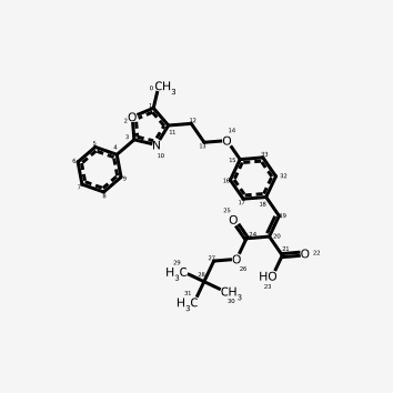 Cc1oc(-c2ccccc2)nc1CCOc1ccc(C=C(C(=O)O)C(=O)OCC(C)(C)C)cc1